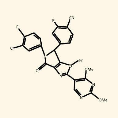 COc1ncc(-c2nc3c(n2C(C)C)C(c2ccc(C#N)c(F)c2)N(c2ccc(F)c(Cl)c2)C3=O)c(OC)n1